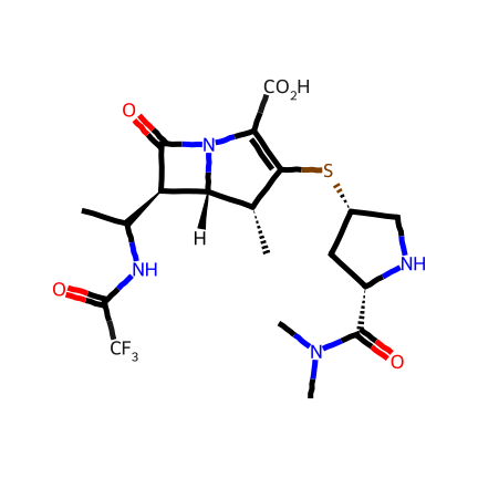 CC(NC(=O)C(F)(F)F)[C@H]1C(=O)N2C(C(=O)O)=C(S[C@@H]3CN[C@H](C(=O)N(C)C)C3)[C@H](C)[C@H]12